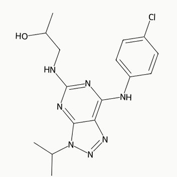 CC(O)CNc1nc(Nc2ccc(Cl)cc2)c2nnn(C(C)C)c2n1